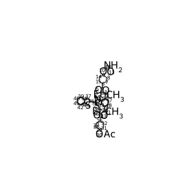 CCC(C)(OC(=O)C1CCC(OC(N)=O)CC1)c1ccc(C(C)(CC)OC(=O)C2CCC(OC(C)=O)CC2)c2sc(-c3cc4ccccc4s3)nc12